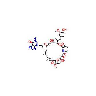 C=CC[C@@H]1/C=C(\C)C[C@H](C)C[C@H](OC)[C@H]2O[C@@](O)(C(=O)C(=O)N3CCCC[C@H]3C(=O)O[C@H](/C(C)=C/C3CC[C@@H](O)[C@H](OC)C3)[C@H](C)[C@@H](O)CC1=O)[C@H](C)C[C@@H]2OC.O=c1[nH]cnc2nc[nH]c12